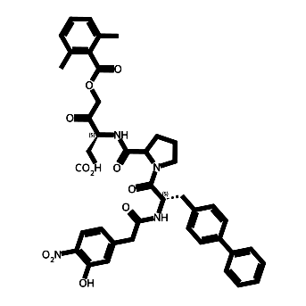 Cc1cccc(C)c1C(=O)OCC(=O)[C@H](CC(=O)O)NC(=O)C1CCCN1C(=O)[C@H](Cc1ccc(-c2ccccc2)cc1)NC(=O)Cc1ccc([N+](=O)[O-])c(O)c1